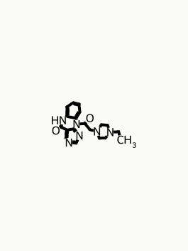 CCN1CCN(CC(=O)N2c3ccccc3NC(=O)c3cncnc32)CC1